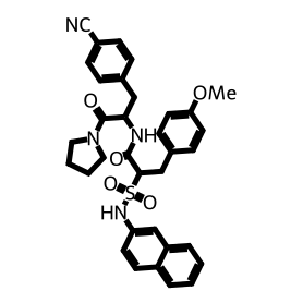 COc1ccc(CC(C(=O)NC(Cc2ccc(C#N)cc2)C(=O)N2CCCC2)S(=O)(=O)Nc2ccc3ccccc3c2)cc1